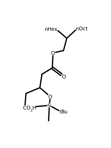 CCCCCCCCC(CCCCCC)COC(=O)CC(CC(=O)O)O[Si](C)(C)C(C)(C)C